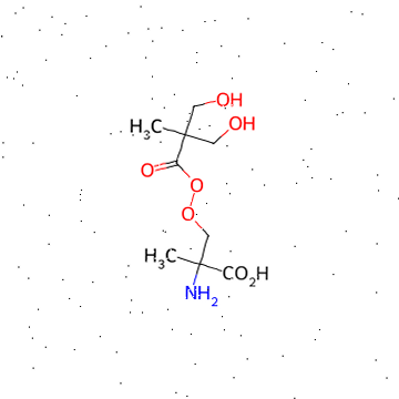 CC(N)(COOC(=O)C(C)(CO)CO)C(=O)O